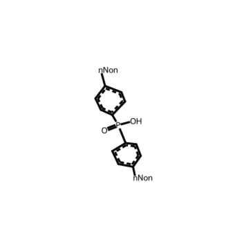 CCCCCCCCCc1ccc(P(=O)(O)c2ccc(CCCCCCCCC)cc2)cc1